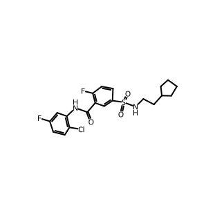 O=C(Nc1cc(F)ccc1Cl)c1cc(S(=O)(=O)NCCC2CCCC2)ccc1F